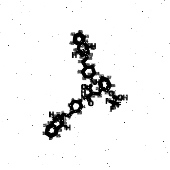 O=C(NC1CCC(CCN2[C@@H]3CC[C@H]2c2ccccc23)CC1)C(Cc1ccccc1)C(=O)NC1CCC(CCN2[C@@H]3CC[C@H]2c2ccccc23)CC1.O=C(O)C(F)(F)F